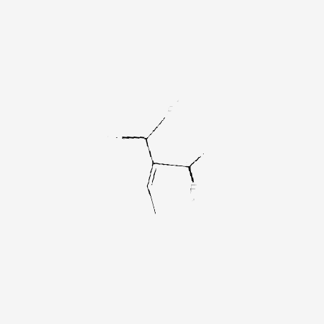 CC=C(C(F)F)C(F)F